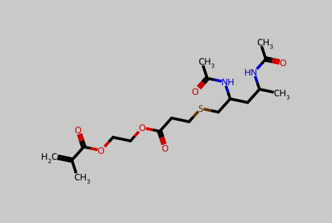 C=C(C)C(=O)OCCOC(=O)CCSCC(CC(C)NC(C)=O)NC(C)=O